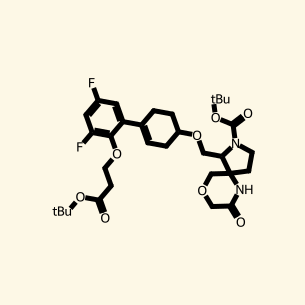 CC(C)(C)OC(=O)CCOc1c(F)cc(F)cc1C1=CCC(OCC2N(C(=O)OC(C)(C)C)CCC23COCC(=O)N3)CC1